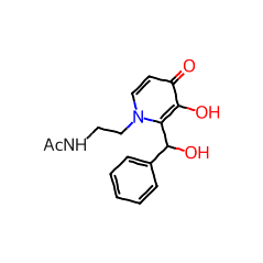 CC(=O)NCCn1ccc(=O)c(O)c1C(O)c1ccccc1